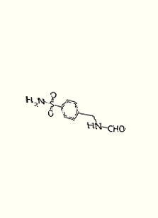 NS(=O)(=O)c1ccc(CN[C]=O)cc1